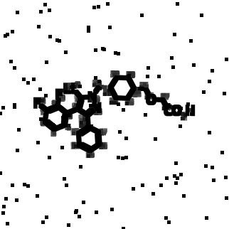 CCc1c(-c2cccc(F)c2F)c(-c2ccccc2)nn1C[C@H]1CC[C@@H](COCC(=O)O)CC1